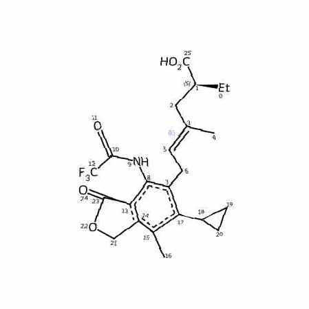 CC[C@@H](C/C(C)=C/Cc1c(NC(=O)C(F)(F)F)c2c(c(C)c1C1CC1)COC2=O)C(=O)O